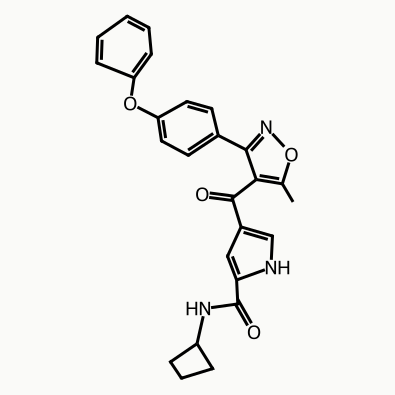 Cc1onc(-c2ccc(Oc3ccccc3)cc2)c1C(=O)c1c[nH]c(C(=O)NC2CCC2)c1